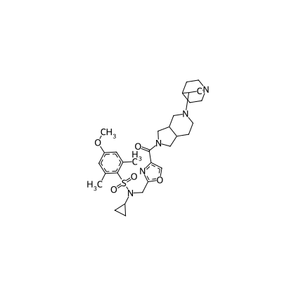 COc1cc(C)c(S(=O)(=O)N(Cc2nc(C(=O)N3CC4CCN(C5CN6CCC5CC6)CC4C3)co2)C2CC2)c(C)c1